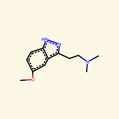 COc1ccc2[nH]nc(CCN(C)C)c2c1